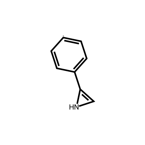 [c]1ccc(C2=CN2)cc1